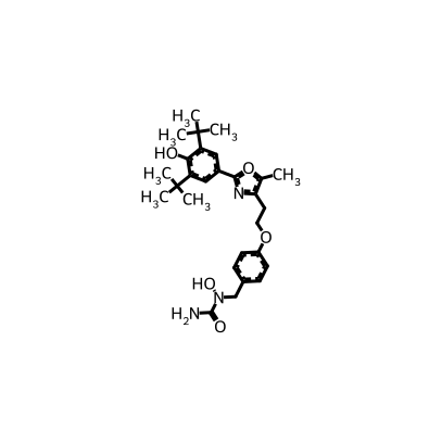 Cc1oc(-c2cc(C(C)(C)C)c(O)c(C(C)(C)C)c2)nc1CCOc1ccc(CN(O)C(N)=O)cc1